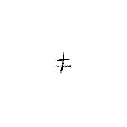 FC(F)(Cl)C(F)(F)I